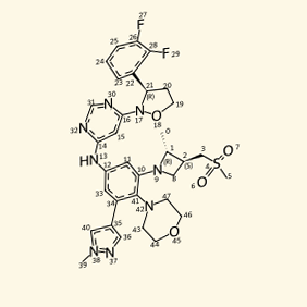 C[C@@H]1[C@@H](CS(C)(=O)=O)CN1c1cc(Nc2cc(N3OCC[C@@H]3c3cccc(F)c3F)ncn2)cc(-c2cnn(C)c2)c1N1CCOCC1